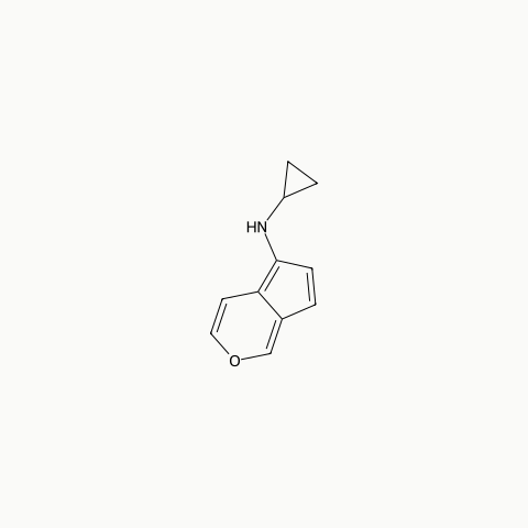 c1cc2c(NC3CC3)ccc-2co1